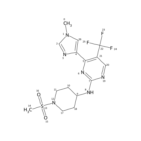 Cn1cnc(-c2nc(NC3CCN(S(C)(=O)=O)CC3)ncc2C(F)(F)F)c1